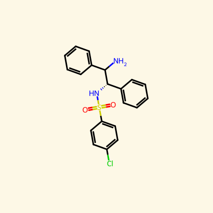 NC(c1ccccc1)[C@@H](NS(=O)(=O)c1ccc(Cl)cc1)c1ccccc1